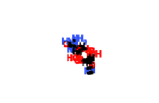 Nc1nc2c(ncn2[C@@H]2O[C@@H]3COP(=O)(O)O[C@H]4C[C@H](Oc5cnccn5)C[C@@H]4COP(=O)(O)O[C@@H]2[C@@H]3O)c(=O)[nH]1